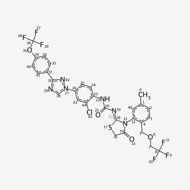 Cc1ccc(COCC(F)(F)F)c(N2C(=O)CS/C2=N\C(=O)Nc2ccc(-n3cnc(-c4ccc(OC(F)(F)F)cc4)n3)cc2Cl)c1